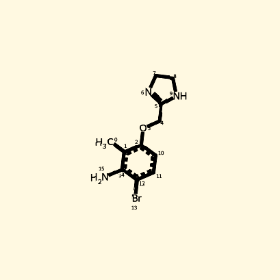 Cc1c(OCC2=NCCN2)ccc(Br)c1N